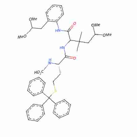 COC(Cc1ccccc1NC(=O)C(NC(=O)[C@H](CCSC(c1ccccc1)(c1ccccc1)c1ccccc1)NC(=O)O)C(C)(C)CC(OC)OC)OC